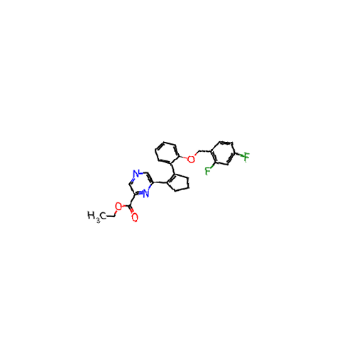 CCOC(=O)c1cncc(C2=C(c3ccccc3OCc3ccc(F)cc3F)CCC2)n1